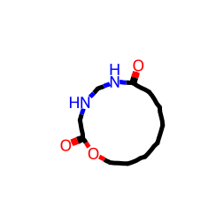 O=C1CCCCCCCOC(=O)CNCN1